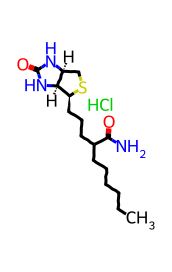 CCCCCCC(CCC[C@@H]1SC[C@@H]2NC(=O)N[C@@H]21)C(N)=O.Cl